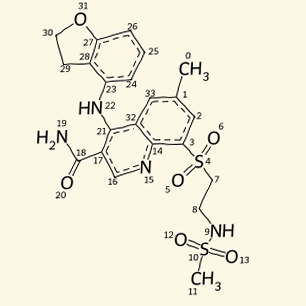 Cc1cc(S(=O)(=O)CCNS(C)(=O)=O)c2ncc(C(N)=O)c(Nc3cccc4c3CCO4)c2c1